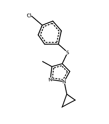 Cc1nn(C2CC2)cc1Sc1ccc(Cl)cc1